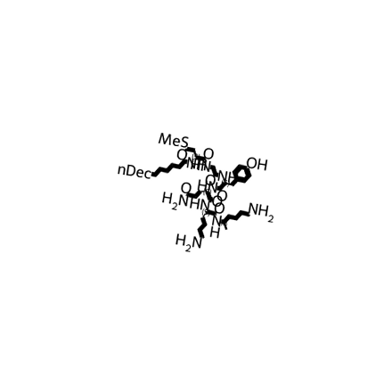 CCCCCCCCCCCCCCCC(=O)N[C@@H](CCSC)C(=O)NCC(=O)N[C@@H](Cc1ccc(O)cc1)C(=O)N[C@@H](CCC(N)=O)C(=O)N[C@@H](CCCCN)C(=O)N[C@H](C)CCCCN